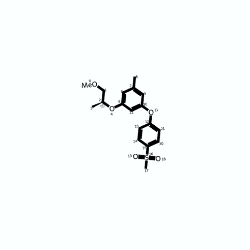 COC[C@H](C)Oc1cc(C)cc(Oc2ccc(S(C)(=O)=O)cc2)c1